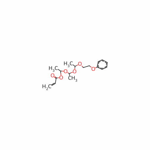 C=CC(=O)OC(C)OC(C)OC(C)OCCOc1ccccc1